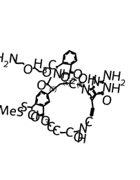 CSSC(C)c1ccc2cc1C(=O)OCCCCC(=O)NCC#Cc1cn(c3nc(N)[nH]c(=O)c13)[C@H](O)C[C@@H](OC(=O)c1ccccc1C(C)N)C[C@@H]2C(=O)COCCOCCN